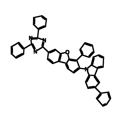 c1ccc(-c2ccc3c(c2)c2ccccc2n3-c2ccc3c(oc4cc(-c5nc(-c6ccccc6)nc(-c6ccccc6)n5)ccc43)c2-c2ccccc2)cc1